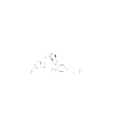 C[C@@](O)(CC(=O)NC1(c2cccc(OCC(F)(F)F)c2)CC1)c1ccc(F)cn1